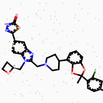 CC1(c2ccc(Cl)cc2F)Oc2cccc(C3CCN(Cc4nc5cc(-c6n[nH]c(=O)s6)ccc5n4C[C@@H]4CCO4)CC3)c2O1